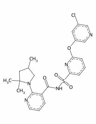 CC1CN(c2ncccc2C(=O)NS(=O)(=O)c2cccc(Oc3cncc(Cl)c3)n2)C(C)(C)C1